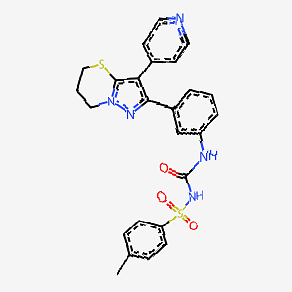 Cc1ccc(S(=O)(=O)NC(=O)Nc2cccc(-c3nn4c(c3-c3ccncc3)SCCC4)c2)cc1